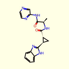 C[C@@H](NC(=O)[C@@H]1C[C@H]1c1nc2ccccc2[nH]1)C(=O)Nc1cnccn1